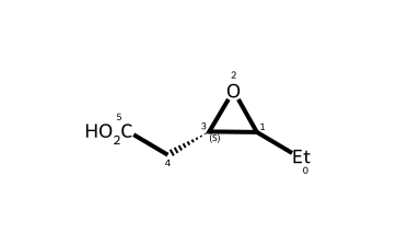 CCC1O[C@H]1CC(=O)O